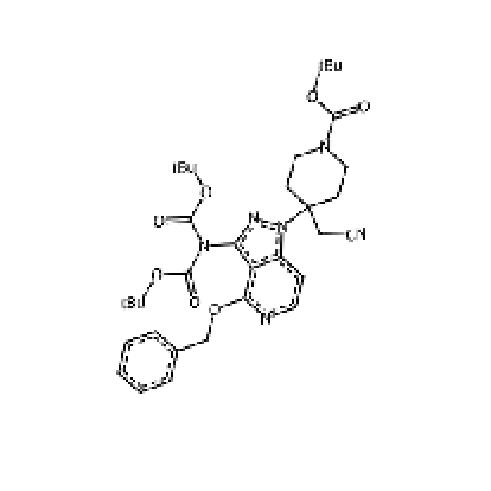 CC(C)(C)OC(=O)N1CCC(CC#N)(n2nc(N(C(=O)OC(C)(C)C)C(=O)OC(C)(C)C)c3c(OCc4ccccc4)nccc32)CC1